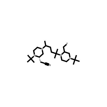 CC(CCC(C)(C)N1CCN(C(C)(C)C)CC1CF)N1CCN(C(C)(C)C)[C@@H](CC#N)C1